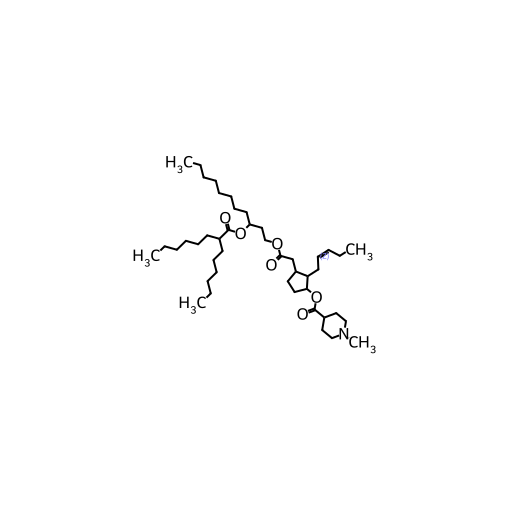 CC/C=C\CC1C(CC(=O)OCCC(CCCCCCCC)OC(=O)C(CCCCCC)CCCCCC)CCC1OC(=O)C1CCN(C)CC1